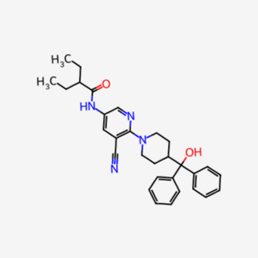 CCC(CC)C(=O)Nc1cnc(N2CCC(C(O)(c3ccccc3)c3ccccc3)CC2)c(C#N)c1